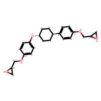 c1cc(O[C@H]2CC[C@H](c3ccc(OCC4CO4)cc3)CC2)ccc1OCC1CO1